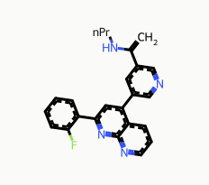 C=C(NCCC)c1cncc(-c2cc(-c3ccccc3F)nc3ncccc23)c1